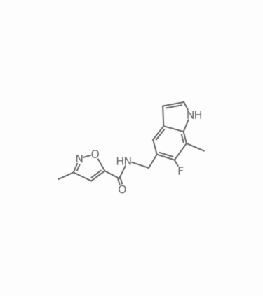 Cc1cc(C(=O)NCc2cc3cc[nH]c3c(C)c2F)on1